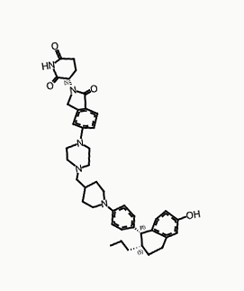 CCC[C@H]1CCc2cc(O)ccc2[C@H]1c1ccc(N2CCC(CN3CCN(c4ccc5c(c4)CN([C@H]4CCC(=O)NC4=O)C5=O)CC3)CC2)cc1